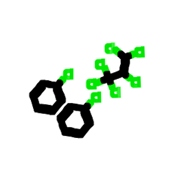 ClC(Cl)=C(Cl)C(Cl)(Cl)Cl.Clc1ccccc1.Clc1ccccc1